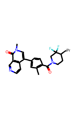 Cc1cc(-c2cn(C)c(=O)c3cnccc23)ccc1C(=O)N1CCC(C(C)C)C(F)(F)C1